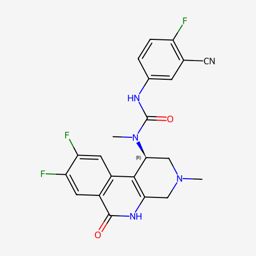 CN1Cc2[nH]c(=O)c3cc(F)c(F)cc3c2[C@@H](N(C)C(=O)Nc2ccc(F)c(C#N)c2)C1